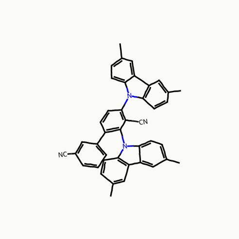 Cc1ccc2c(c1)c1cc(C)ccc1n2-c1ccc(-c2cccc(C#N)c2)c(-n2c3ccc(C)cc3c3cc(C)ccc32)c1C#N